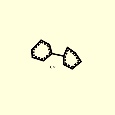 [Ca].c1ccc(-c2ccccc2)cc1